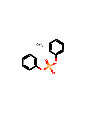 O=P(O)(Oc1ccccc1)Oc1ccccc1.[CaH2]